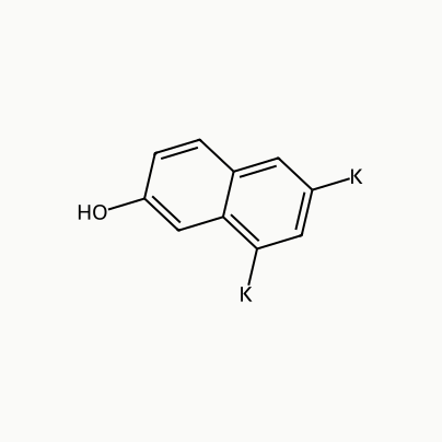 Oc1ccc2c[c]([K])c[c]([K])c2c1